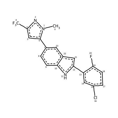 Cn1nc(C(F)(F)F)cc1-c1ccc2[nH]c(-c3cc(Cl)ccc3F)cc2c1